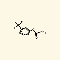 CC(F)(F)c1cc(OC(N)=O)ccn1